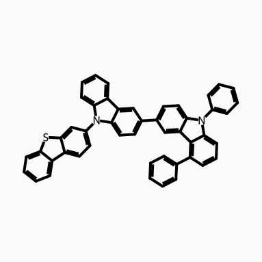 c1ccc(-c2cccc3c2c2cc(-c4ccc5c(c4)c4ccccc4n5-c4ccc5c(c4)sc4ccccc45)ccc2n3-c2ccccc2)cc1